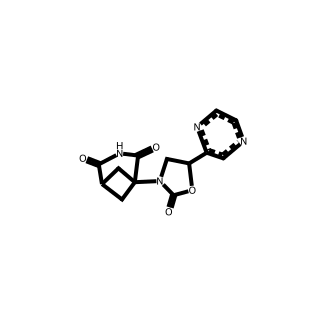 O=C1NC(=O)C2(N3CC(c4cnccn4)OC3=O)CC1C2